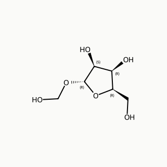 OCO[C@H]1O[C@H](CO)[C@H](O)[C@@H]1O